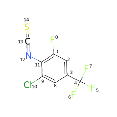 Fc1cc(C(F)(F)F)cc(Cl)c1N=C=S